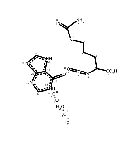 N=C(N)NCCCC(N=C=O)C(=O)O.O.O.O.O.O.O=c1[nH]cnc2nc[nH]c12